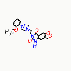 COc1ccccc1N1CCN(CCn2c(=O)[nH]c3cc4c(cc3c2=O)OOC4)CC1